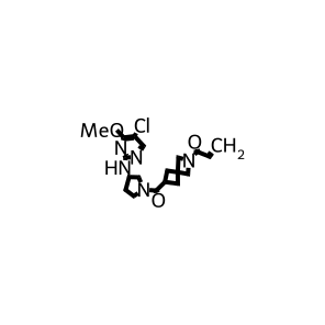 C=CC(=O)N1CC2(CC(C(=O)N3CC[C@H](Nc4ncc(Cl)c(OC)n4)C3)C2)C1